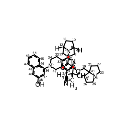 CC(C)(C)OC(=O)N1C[C@H]2CC[C@@H](C1)N2c1nc(OCC23CCCN2CCC3)c(C#N)c2c1CCN(c1cc(O)cc3ccccc13)C2